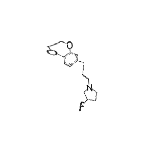 F[C@@H]1CCN(CCCc2ccc3c(c2)OCCO3)C1